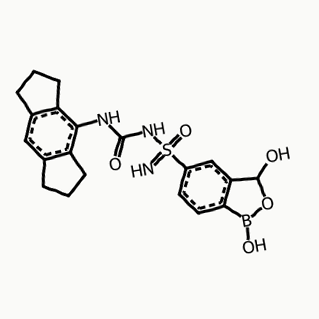 N=S(=O)(NC(=O)Nc1c2c(cc3c1CCC3)CCC2)c1ccc2c(c1)C(O)OB2O